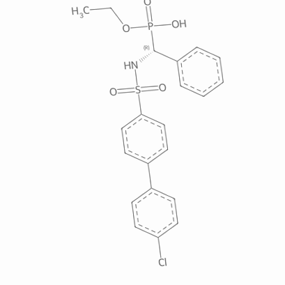 CCOP(=O)(O)[C@@H](NS(=O)(=O)c1ccc(-c2ccc(Cl)cc2)cc1)c1ccccc1